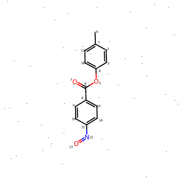 Cc1ccc(OC(=O)c2ccc(N=O)cc2)cc1